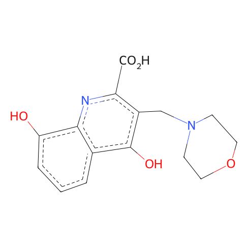 O=C(O)c1nc2c(O)cccc2c(O)c1CN1CCOCC1